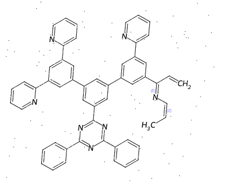 C=C/C(=N\C=C/C)c1cc(-c2cc(-c3cc(-c4ccccn4)cc(-c4ccccn4)c3)cc(-c3nc(-c4ccccc4)nc(-c4ccccc4)n3)c2)cc(-c2ccccn2)c1